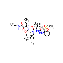 CCCNC(=O)C(=O)C(CCC)NC(=O)[C@@H]1[C@@H]2[C@H](CN1C(=O)[C@@H](NC(=O)NC1(CS(=O)(=O)CC)CCCCC1)C(C)(C)C)C2(C)C